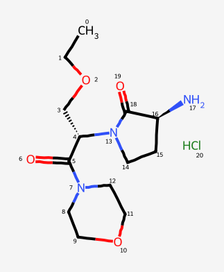 CCOC[C@@H](C(=O)N1CCOCC1)N1CC[C@H](N)C1=O.Cl